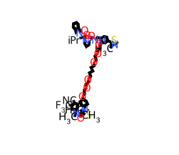 Cc1ncsc1-c1ccc(CNC(=O)[C@@H]2CCCN2C(=O)C(C(C)C)N2Cc3ccccc3C2=O)c(OCCOCCOCCCCCOCCOCCOc2ccc(N(C=S)C(C)(C)C(=O)N(C)c3ccc(C#N)c(C(F)(F)F)c3)cc2)c1